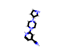 N#Cc1ccnc(N2CCN([C@H]3C[CH]NC3)CC2)c1